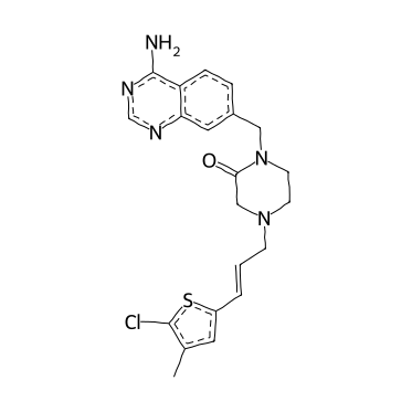 Cc1cc(/C=C/CN2CCN(Cc3ccc4c(N)ncnc4c3)C(=O)C2)sc1Cl